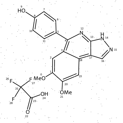 COc1cc2c(-c3ccc(O)cc3)nc3[nH]ncc3c2cc1OC.O=C(O)C(F)(F)F